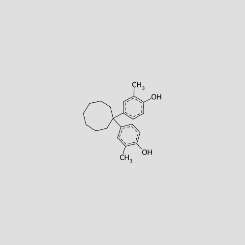 Cc1cc(C2(c3ccc(O)c(C)c3)CCCCCCC2)ccc1O